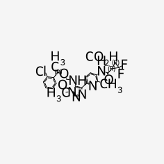 Cc1nc(-c2nnn(C)c2NC(=O)O[C@H](C)c2ccccc2Cl)ccc1NC(=O)[C@H]1[C@H](C(=O)O)C1(F)F